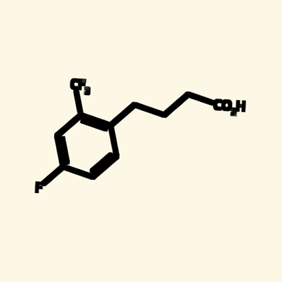 O=C(O)CCCc1ccc(F)cc1C(F)(F)F